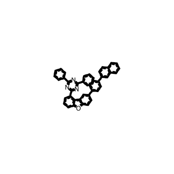 c1ccc(-c2nc(-c3ccccc3)nc(-c3cccc4oc5ccc(-c6ccc(-c7ccc8ccccc8c7)cc6)cc5c34)n2)cc1